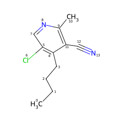 CCCCc1c(Cl)cnc(C)c1C#N